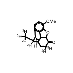 [2H]C1([2H])C[C@@H]2[C@@]34CCN(C([2H])([2H])[2H])[C@]2([2H])Cc2ccc(OC)c(c23)OC4C1=O